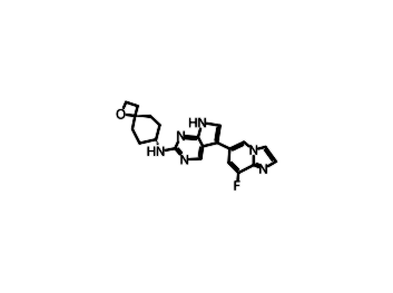 Fc1cc(-c2c[nH]c3nc(N[C@H]4CC[C@@]5(CCO5)CC4)ncc23)cn2ccnc12